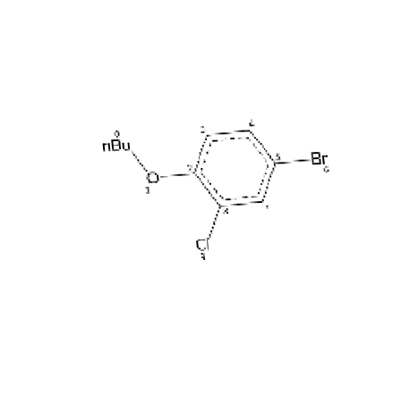 CCCCOc1ccc(Br)cc1Cl